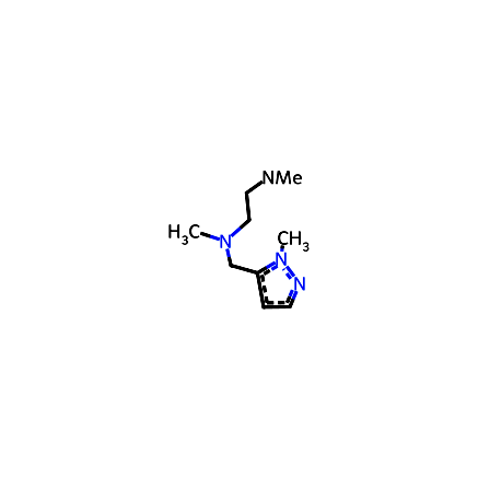 CNCCN(C)Cc1ccnn1C